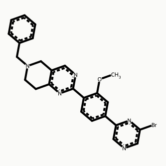 COc1cc(-c2cncc(Br)n2)ccc1-c1ncc2c(n1)CCN(Cc1ccccc1)C2